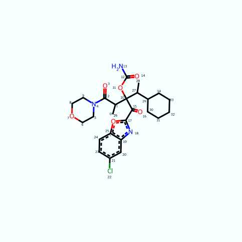 CC(C(=O)N1CCOCC1)C(OC(N)=O)(C(=O)c1nc2cc(Cl)ccc2o1)C(C)C1CCCCC1